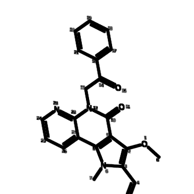 COc1c(C=O)n(C)c2c1c(=O)n(CC(=O)c1ccccc1)c1ncccc21